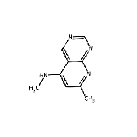 CNc1cc(C)nc2ncncc12